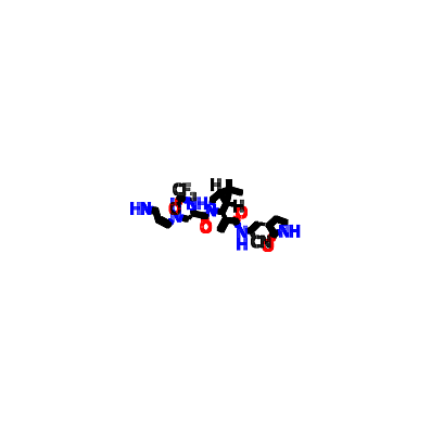 C=C(C(=O)N[C@H](C#N)C[C@@H]1CCNC1=O)[C@@H]1[C@@H]2[C@H](CN1C(=O)[C@H](CN/C=C\C=N)NC(=O)C(F)(F)F)C2(C)C